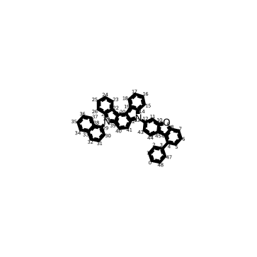 c1ccc(-c2cccc3oc4cc(-n5c6ccccc6c6c7c8ccccc8n(-c8cccc9ccccc89)c7ccc65)ccc4c23)cc1